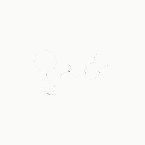 CCN(C(=O)Cc1ccc(Br)c(Br)c1)C1CCCCCCC1N1CC=CC1